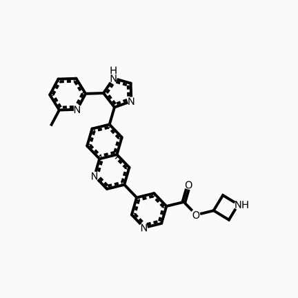 Cc1cccc(-c2[nH]cnc2-c2ccc3ncc(-c4cncc(C(=O)OC5CNC5)c4)cc3c2)n1